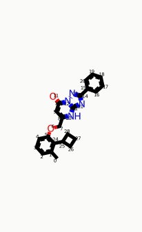 Cc1cccc(OCc2cc(=O)n3nc(-c4ccccc4)nc3[nH]2)c1C1CCC1